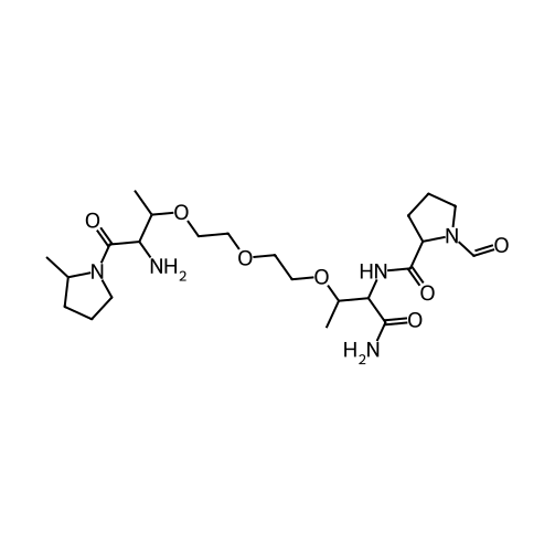 CC(OCCOCCOC(C)C(NC(=O)C1CCCN1C=O)C(N)=O)C(N)C(=O)N1CCCC1C